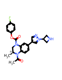 CC(=O)N1c2ccc(-c3cnn(C4CNC4)c3)cc2N(C(=O)Oc2ccc(F)cc2)C[C@@H]1C